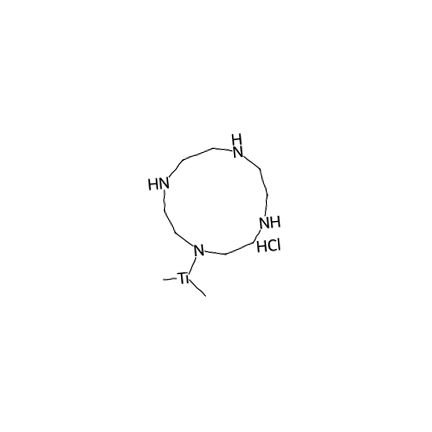 Cl.[CH3][Ti]([CH3])[N]1CCNCCNCCNCC1